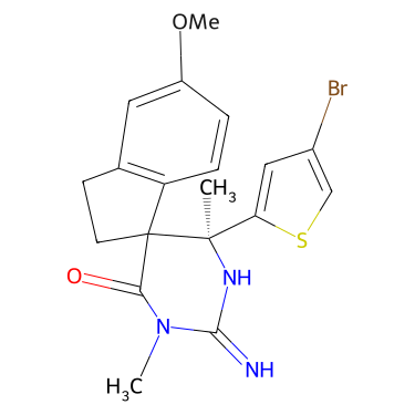 COc1ccc2c(c1)CCC21C(=O)N(C)C(=N)N[C@]1(C)c1cc(Br)cs1